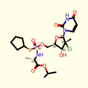 CC(C)OC(=O)[C@H](C)N[P@@](=O)(OC[C@H]1O[C@@H](n2ccc(=O)[nH]c2=O)[C@](C)(Cl)[C@@H]1O)SC1CCCC1